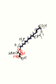 COC(OC(=O)/C(C)=C/C=C/C(C)=C/C=C/C=C(C)/C=C/C=C(\C)C(=O)O)C(O)[C@@H](O)C=O